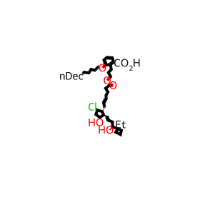 CCCCCCCCCCCCCCCOc1cccc(C(=O)O)c1CCCOC(=O)CCCC=CC[C@@H]1[C@@H](C=CC[C@H](O)C2(CC)CCC2)[C@H](O)C[C@H]1Cl